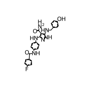 NC(=O)c1c(Nc2ccc(NC(=O)c3ccc(F)cc3)cc2)n[nH]c1NCc1ccc(O)cc1